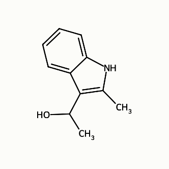 Cc1[nH]c2ccccc2c1C(C)O